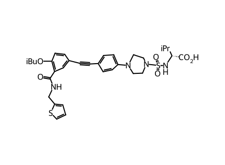 CC(C)COc1ccc(C#Cc2ccc(N3CCN(S(=O)(=O)N[C@@H](C(=O)O)C(C)C)CC3)cc2)cc1C(=O)NCc1cccs1